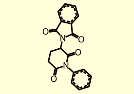 O=C1CCC(N2C(=O)c3ccccc3C2=O)C(=O)N1c1ccccc1